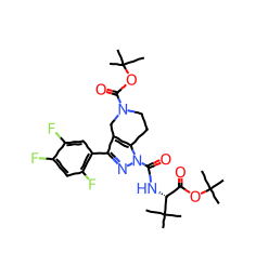 CC(C)(C)OC(=O)[C@@H](NC(=O)n1nc(-c2cc(F)c(F)cc2F)c2c1CCN(C(=O)OC(C)(C)C)C2)C(C)(C)C